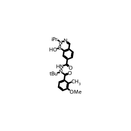 COc1cccc(C(=O)N(NC(=O)c2ccc3c(c2)B(O)N(C(C)C)N=C3)C(C)(C)C)c1C